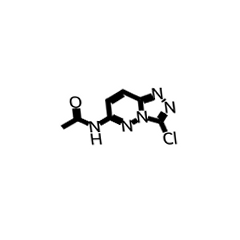 CC(=O)Nc1ccc2nnc(Cl)n2n1